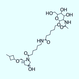 CC(=O)NC1C(OCCCCCC(=O)NCCCCCC(=O)N2C[C@H](O)C[C@H]2COC2CC(C)C2)OC(CO)C(O)C1O